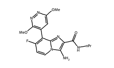 CCCNC(=O)c1nc2c(-c3cc(OC)nnc3OC)c(F)ccn2c1N